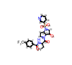 CC(C)CC(NC(=O)c1ccc(C(F)(F)F)cc1)C(=O)N1CCC2C1C(=O)CN2S(=O)(=O)c1cccnc1